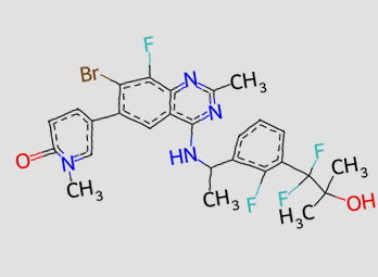 Cc1nc(NC(C)c2cccc(C(F)(F)C(C)(C)O)c2F)c2cc(-c3ccc(=O)n(C)c3)c(Br)c(F)c2n1